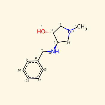 CN1C[C@@H](O)[C@H](NCc2ccccc2)C1